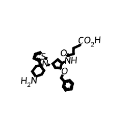 CN(C)C1(c2cccs2)CCC(N)CC1.O=C(O)CCCC(=O)NC1CCCC1OCc1ccccc1